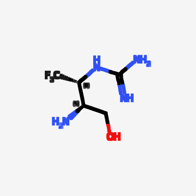 N=C(N)N[C@H]([C@H](N)CO)C(F)(F)F